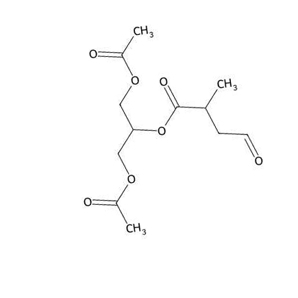 CC(=O)OCC(COC(C)=O)OC(=O)C(C)CC=O